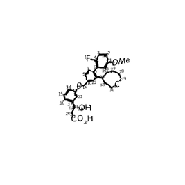 COc1ccc(F)c(-c2ccc(COc3cccc([C@H](O)CC(=O)O)c3)cc2C2CCCCCCC2)c1